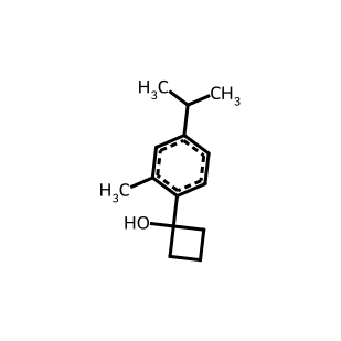 Cc1cc(C(C)C)ccc1C1(O)CCC1